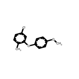 COc1ccc(Oc2cc(Cl)ccc2C)cc1